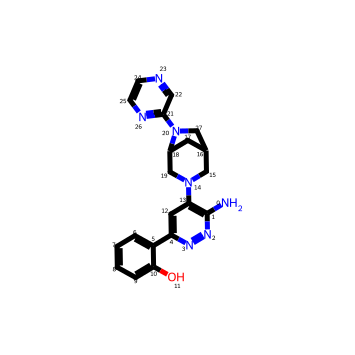 Nc1nnc(-c2ccccc2O)cc1N1CC2CC(C1)N(c1cnccn1)C2